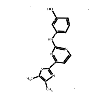 Cc1nc(-c2ccnc(Nc3cccc(O)c3)n2)sc1C